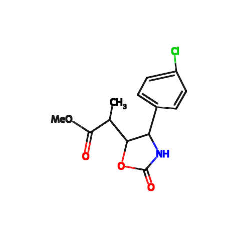 COC(=O)C(C)C1OC(=O)NC1c1ccc(Cl)cc1